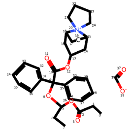 CCC(=O)OC(CC)OC(C(=O)OC1CC2CCC(C1)[N+]21CCCC1)(c1ccccc1)c1ccccc1.O=C[O-]